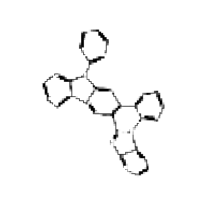 c1ccc(-n2c3ccccc3c3cc4c(cc32)c2ccccc2n2c3cccnc3nc42)cc1